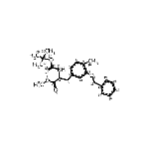 COC(=O)C(Cc1ccc(C)c(OCc2ccccc2)c1)NC(=O)OC(C)(C)C